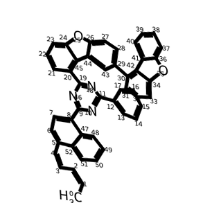 C/C=C\C=C/c1ccc(-c2nc(-c3ccccc3)nc(-c3cccc4oc5ccc(-c6cccc7oc8ccccc8c67)cc5c34)n2)c2ccccc12